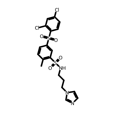 Cc1ccc(S(=O)(=O)c2ccc(Cl)cc2Cl)cc1S(=O)(=O)NCCCn1ccnc1